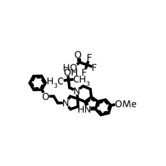 COc1ccc2[nH]c3c(c2c1)CCN(CC(C)(C)O)C31CCN(CCOc2ccccc2)C1.O=C(O)C(F)(F)F